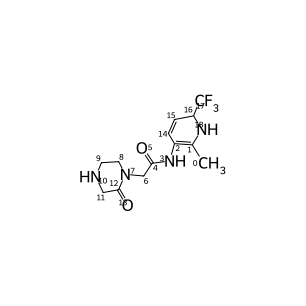 CC1=C(NC(=O)CN2CCNCC2=O)C=CC(C(F)(F)F)N1